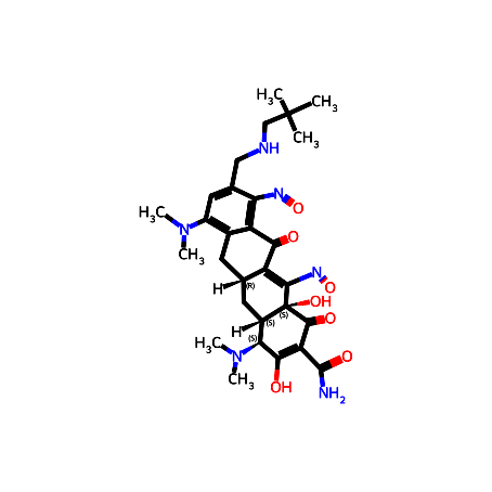 CN(C)c1cc(CNCC(C)(C)C)c(N=O)c2c1C[C@H]1C[C@H]3[C@H](N(C)C)C(O)=C(C(N)=O)C(=O)[C@@]3(O)C(N=O)=C1C2=O